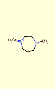 C=[N+]1CCCN(C)CC1